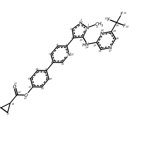 Cn1ncc(-c2ccc(-c3ccc(OC(=O)C4CC4)cc3)cn2)c1Nc1cncc(C(F)(F)F)n1